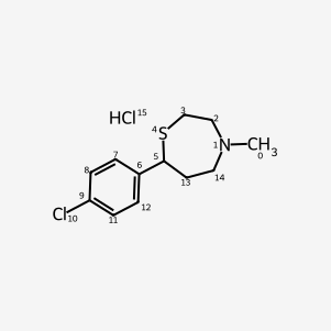 CN1CCSC(c2ccc(Cl)cc2)CC1.Cl